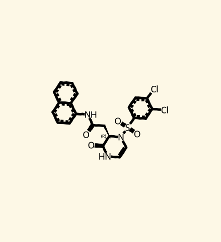 O=C(C[C@@H]1C(=O)NC=CN1S(=O)(=O)c1ccc(Cl)c(Cl)c1)Nc1cccc2ccccc12